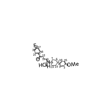 COc1ccc(C2CCC(NCCCC(=O)c3ccc(F)cc3)CC2)cc1.Cl